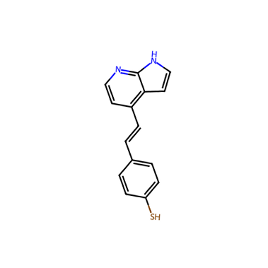 Sc1ccc(/C=C/c2ccnc3[nH]ccc23)cc1